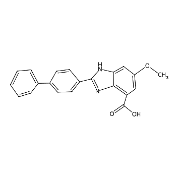 COc1cc(C(=O)O)c2nc(-c3ccc(-c4ccccc4)cc3)[nH]c2c1